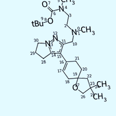 CN(CCN(C)C(=O)OC(C)(C)C)Cc1nn2c(c1C1=CCC3(CC1)CC(C)(C)CO3)CCC2